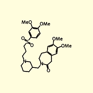 COc1ccc(S(=O)(=O)CCCN2CCCC(CN3CCc4cc(OC)c(OC)cc4CC3=O)C2)cc1OC